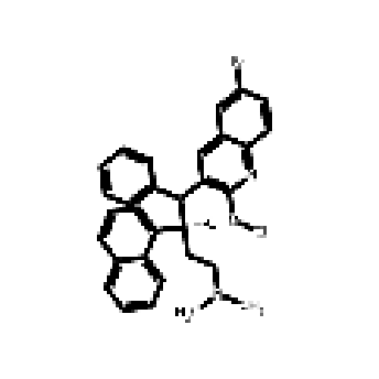 COc1nc2ccc(Br)cc2cc1C(c1ccccc1)[C@@](O)(CCN(C)C)c1cccc2ccccc12